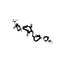 CCC[C@H]1CC[C@H](C2CCC(CCc3c(F)c[c]c(Oc4ccc(OC(F)F)cc4)c3F)CC2)CC1